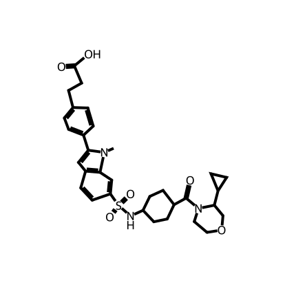 Cn1c(-c2ccc(CCC(=O)O)cc2)cc2ccc(S(=O)(=O)NC3CCC(C(=O)N4CCOCC4C4CC4)CC3)cc21